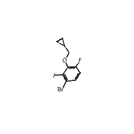 Fc1ccc(Br)c(I)c1OCC1CC1